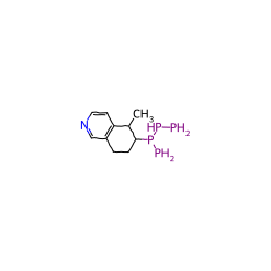 CC1c2ccncc2CCC1P(P)PP